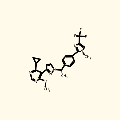 COc1ncnc(C2CC2)c1-c1ccn([C@@H](C)c2ccc(-c3nc(C(F)(F)F)cn3C)cc2)n1